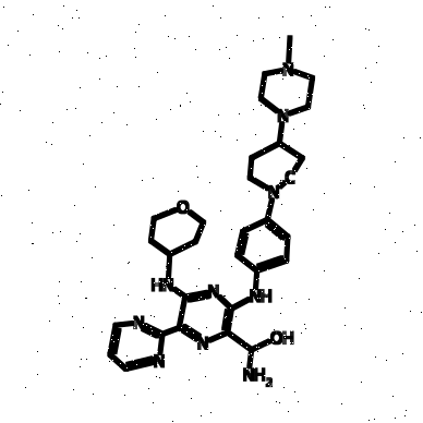 CN1CCN(C2CCN(c3ccc(Nc4nc(NC5CCOCC5)c(-c5ncccn5)nc4C(N)O)cc3)CC2)CC1